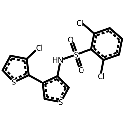 O=S(=O)(Nc1cscc1-c1sccc1Cl)c1c(Cl)cccc1Cl